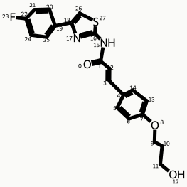 O=C(C=Cc1ccc(OCCCO)cc1)Nc1nc(-c2ccc(F)cc2)cs1